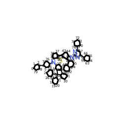 c1ccc(-c2ccc(N(c3ccc4c(c3)C(c3ccccc3)(c3ccccc3)c3ccccc3-4)c3cccc4c3sc3c4ccc4c3c3c5ccccc5ccc3n4-c3nc(-c4ccccc4)cc(-c4ccccc4)n3)cc2)cc1